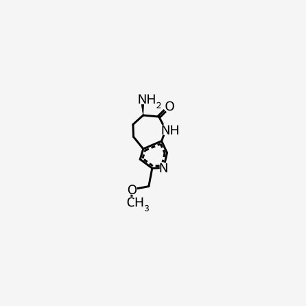 COCc1cc2c(cn1)NC(=O)[C@H](N)CC2